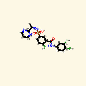 CC(NS(=O)(=O)c1ccc(F)c(C(=O)Nc2ccc(F)c(F)c2)c1)c1ncccn1